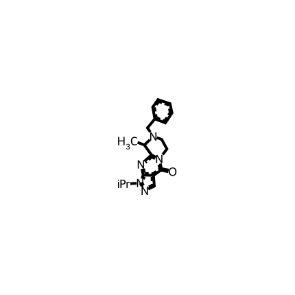 CC1c2nc3c(cnn3C(C)C)c(=O)n2CCN1Cc1ccccc1